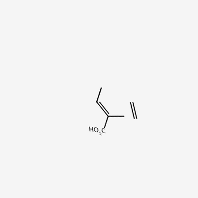 C=C.CC=C(C)C(=O)O